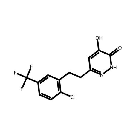 O=c1[nH]nc(CCc2cc(C(F)(F)F)ccc2Cl)cc1O